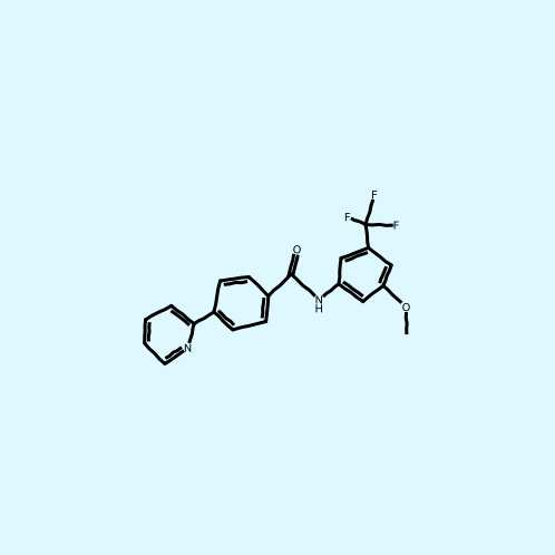 COc1cc(NC(=O)c2ccc(-c3ccccn3)cc2)cc(C(F)(F)F)c1